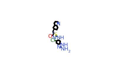 Nc1nc2cc(Cl)c(NC3=NC(=O)/C(=C/c4ccc5ncccc5c4)S3)cc2[nH]1